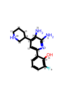 Nc1nc(-c2cccc(F)c2O)cc(C2CCCNC2)c1N